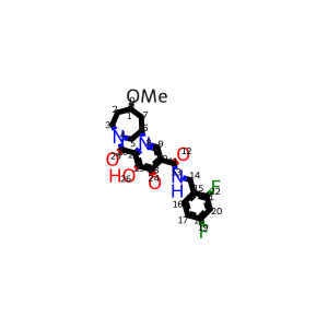 COC1CCN2CC(C1)n1cc(C(=O)NCc3ccc(F)cc3F)c(=O)c(O)c1C2=O